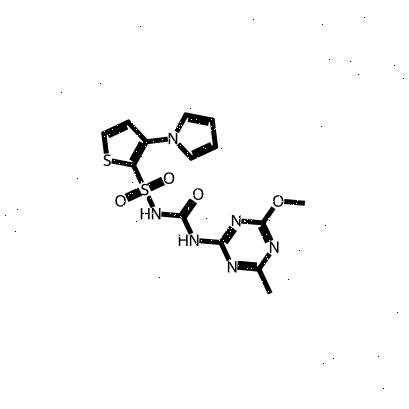 COc1nc(C)nc(NC(=O)NS(=O)(=O)c2sccc2-n2cccc2)n1